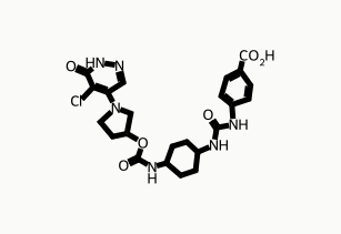 O=C(Nc1ccc(C(=O)O)cc1)NC1CCC(NC(=O)OC2CCN(c3cn[nH]c(=O)c3Cl)C2)CC1